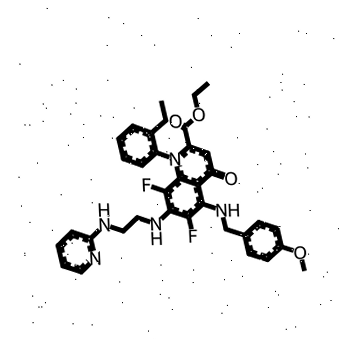 CCOC(=O)c1cc(=O)c2c(NCc3ccc(OC)cc3)c(F)c(NCCNc3ccccn3)c(F)c2n1-c1ccccc1CC